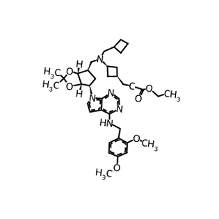 CCOC(=O)CC[C@H]1C[C@@H](N(CC2CCC2)C[C@H]2C[C@@H](n3ccc4c(NCc5ccc(OC)cc5OC)ncnc43)[C@@H]3OC(C)(C)O[C@H]23)C1